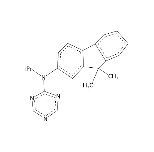 CC(C)N(c1ccc2c(c1)C(C)(C)c1ccccc1-2)c1ncncn1